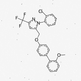 COc1ccccc1-c1ccc(OCc2cc(C(F)(F)F)nn2-c2ccccc2Cl)cc1